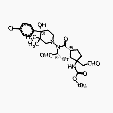 CC(C)[C@H](C=O)N(C(=O)[C@@H]1CCC(CC=O)(NC(=O)OC(C)(C)C)C1)N1CC[C@](O)(c2ccc(Cl)cc2)C(C)(C)C1